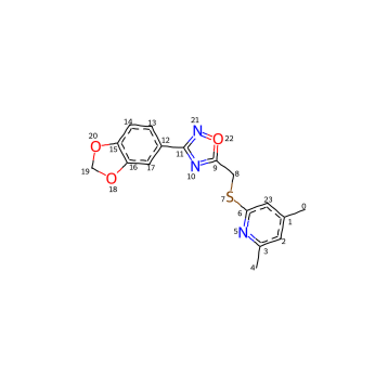 Cc1cc(C)nc(SCc2nc(-c3ccc4c(c3)OCO4)no2)c1